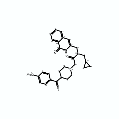 COc1ccc(C(=O)C2CCN(CC(=O)N(Cc3cc4ccccc4c(=O)[nH]3)CC3CC3)CC2)cc1